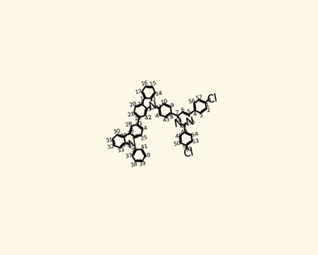 Clc1ccc(-c2cc(-c3ccc(-n4c5ccccc5c5ccc(-c6ccc7c(c6)c6ccccc6n7-c6ccccc6)cc54)cc3)nc(-c3ccc(Cl)cc3)n2)cc1